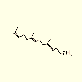 CC(C)=CCC/C(C)=C/CC/C(C)=C/CCP